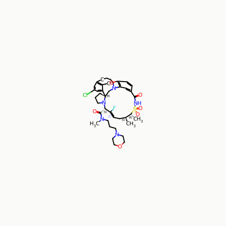 C[C@@H]1[C@@H](C)C/C=C(\F)[C@H](C(=O)N(C)CCCN2CCOCC2)N2CCC[C@@]23CN2CCCCc4cc(Cl)cc3c4COc3ccc(cc32)C(=O)NS1(=O)=O